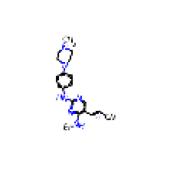 CCNc1nc(Nc2ccc(N3CCN(C)CC3)cc2)ncc1/C=C/C#N